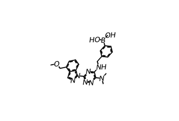 COCc1cccc2c1cnn2-c1nnc(N(C)C)c(NCc2cccc(B(O)O)c2)n1